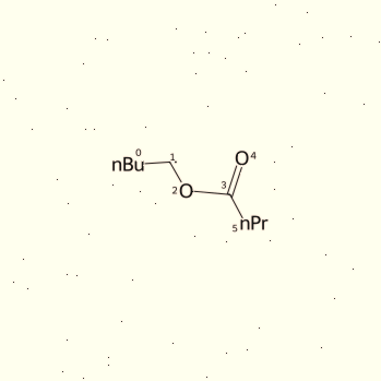 CCCC[CH]OC(=O)CCC